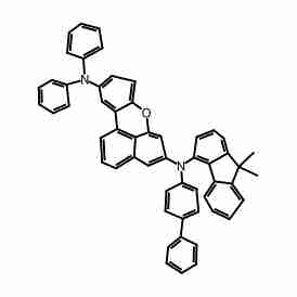 CC1(C)c2ccccc2-c2c(N(c3ccc(-c4ccccc4)cc3)c3cc4c5c(cccc5c3)-c3cc(N(c5ccccc5)c5ccccc5)ccc3O4)cccc21